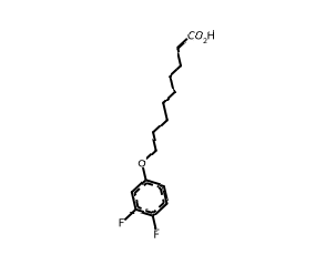 O=C(O)CCCCCCCCOc1ccc(F)c(F)c1